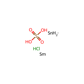 Cl.O=S(=O)(O)O.[Sm].[SnH2]